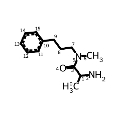 CC(N)C(=O)N(C)CCCc1ccccc1